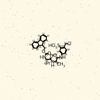 CC(C)[C@H](NC(=O)OCC1c2ccccc2-c2ccccc21)C(=O)N[C@@H](C)C(=O)Nc1ccc(CCl)c(S(=O)(=O)O)c1